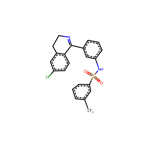 O=S(=O)(Nc1cccc(C2=NCCc3cc(Cl)ccc32)c1)c1cccc(C(F)(F)F)c1